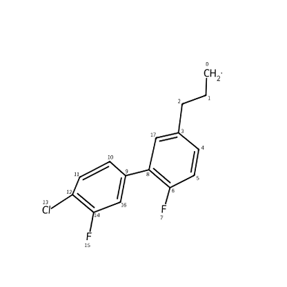 [CH2]CCc1ccc(F)c(-c2ccc(Cl)c(F)c2)c1